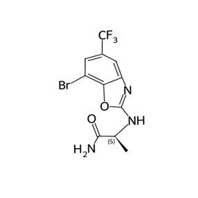 C[C@H](Nc1nc2cc(C(F)(F)F)cc(Br)c2o1)C(N)=O